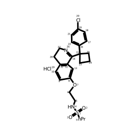 CCCS(=O)(=O)NCCOc1ccc2c(c1)C(C1(c3ccc(Cl)cc3)CCC1)=NCC2.Cl